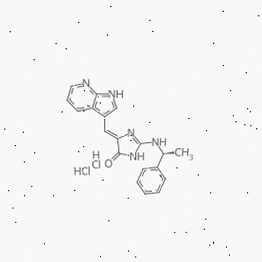 C[C@H](NC1=N/C(=C\c2c[nH]c3ncccc23)C(=O)N1)c1ccccc1.Cl.Cl